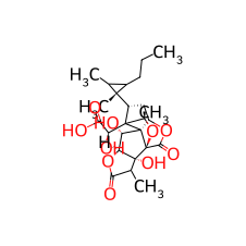 CCCC1C(C)[C@@]1(C)[C@@H]1CC2OC(=O)[C@@]34O[C@H](C)C1([C@@H](O)C(=O)O)[C@@]23[C@@H](O)[C@@H]1OC(=O)C(C)[C@@]14O